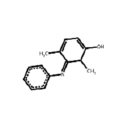 CC1=CC=C(O)C(C)C1=Nc1ccccc1